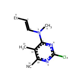 CC/C=C/N(C)c1nc(Cl)nc(C#N)c1C